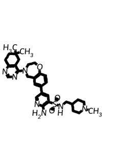 CN1CCC(CNS(=O)(=O)c2cc(-c3ccc4c(c3)CN(c3ncnc5c3CC(C)(C)CC5)CCO4)cnc2N)CC1